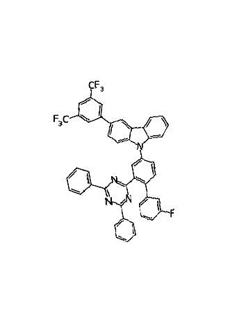 Fc1cccc(-c2ccc(-n3c4ccccc4c4cc(-c5cc(C(F)(F)F)cc(C(F)(F)F)c5)ccc43)cc2-c2nc(-c3ccccc3)nc(-c3ccccc3)n2)c1